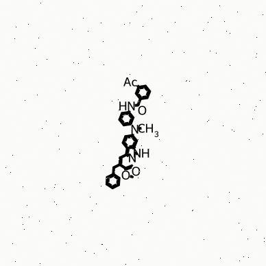 CC(=O)c1cccc(C(=O)Nc2cccc(N(C)c3ccc4c(C=C(Cc5ccccc5)C5=COCO5)n[nH]c4c3)c2)c1